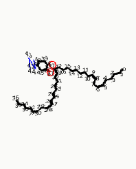 CCCCC/C=C\C/C=C\CCCCCCCCC1(CCCCCCCC/C=C\C/C=C\CCCCC)OC2CC[C@H](N(C)C)CC2O1